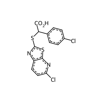 O=C(O)C(Sc1nc2ccc(Cl)nc2s1)c1ccc(Cl)cc1